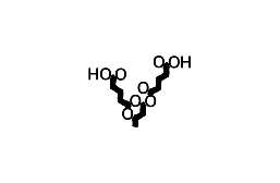 CC(CCOC(=O)CCCC(=O)O)OC(=O)CCCC(=O)O